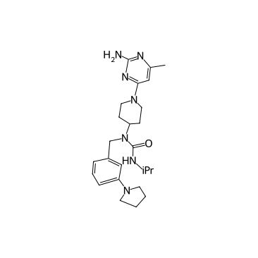 Cc1cc(N2CCC(N(Cc3cccc(N4CCCC4)c3)C(=O)NC(C)C)CC2)nc(N)n1